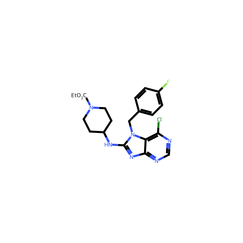 CCOC(=O)N1CCC(Nc2nc3ncnc(Cl)c3n2Cc2ccc(F)cc2)CC1